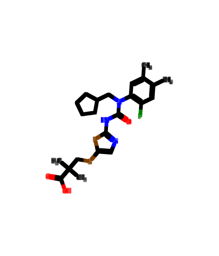 Bc1cc(F)c(N(CC2CCCC2)C(=O)Nc2ncc(SCC(C)(C)C(=O)O)s2)cc1C